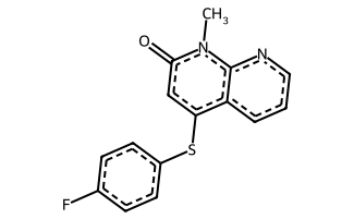 Cn1c(=O)cc(Sc2ccc(F)cc2)c2cccnc21